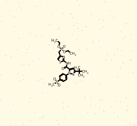 CCOP(=O)(Cc1csc(NC(=O)c2cc(C(C)(C)C)nn2-c2ccc(S(C)(=O)=O)cc2)n1)OCC